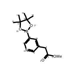 COC(=O)Cc1cncc(B2OC(C)(C)C(C)(C)O2)c1